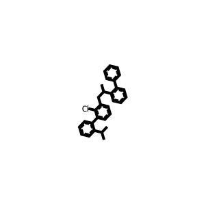 CC(C)c1ccccc1-c1cccc(CC(C)c2ccccc2-c2ccccc2)c1Cl